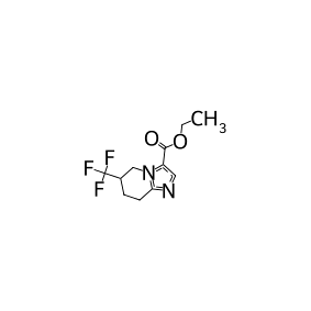 CCOC(=O)c1cnc2n1CC(C(F)(F)F)CC2